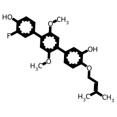 COc1cc(-c2ccc(O)c(F)c2)c(OC)cc1-c1ccc(OCC=C(C)C)c(O)c1